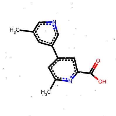 Cc1cncc(-c2cc(C)nc(C(=O)O)c2)c1